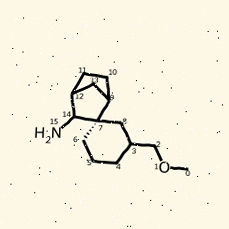 COCC1CCC[C@@]2(C1)C1CCC(C1)C2N